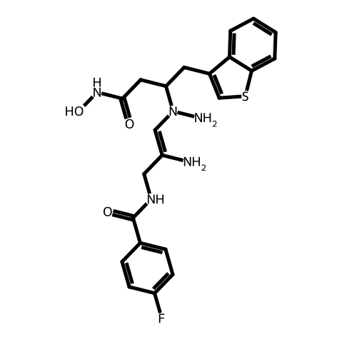 N/C(=C\N(N)C(CC(=O)NO)Cc1csc2ccccc12)CNC(=O)c1ccc(F)cc1